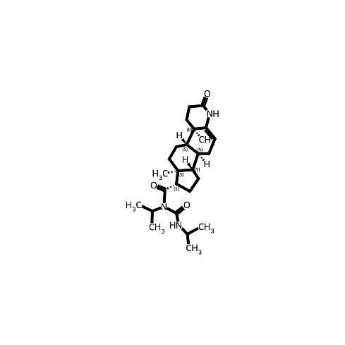 CC(C)NC(=O)N(C(=O)[C@H]1CC[C@H]2[C@@H]3CC=C4NC(=O)CC[C@]4(C)[C@H]3CC[C@]12C)C(C)C